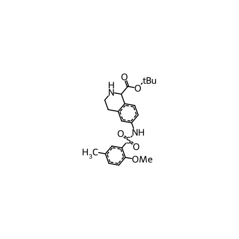 COc1ccc(C)cc1S(=O)(=O)Nc1ccc2c(c1)CCNC2C(=O)OC(C)(C)C